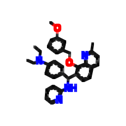 CCN(CC)c1ccc(C(Nc2ccccn2)c2ccc3ccc(C)nc3c2OCc2cccc(OC)c2)cc1